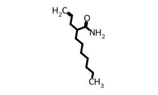 C=CCC(CCCCCCC)C(N)=O